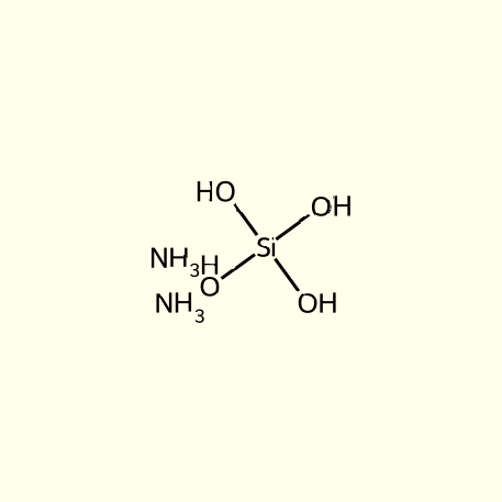 N.N.O[Si](O)(O)O